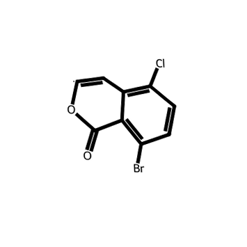 O=c1o[c]cc2c(Cl)ccc(Br)c12